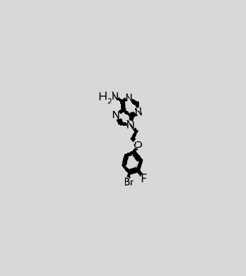 Nc1ncnc2c1ncn2CCOc1ccc(Br)c(F)c1